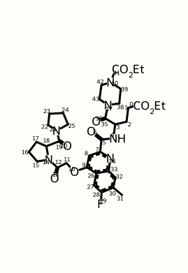 CCOC(=O)CCC(NC(=O)c1cc(OCC(=O)N2CCCC2C(=O)N2CCCC2)c2cc(F)c(C)cc2n1)C(=O)N1CCN(C(=O)OCC)CC1